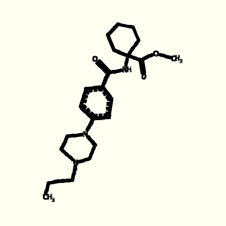 CCCN1CCN(c2ccc(C(=O)NC3(C(=O)OC)CCCCC3)cc2)CC1